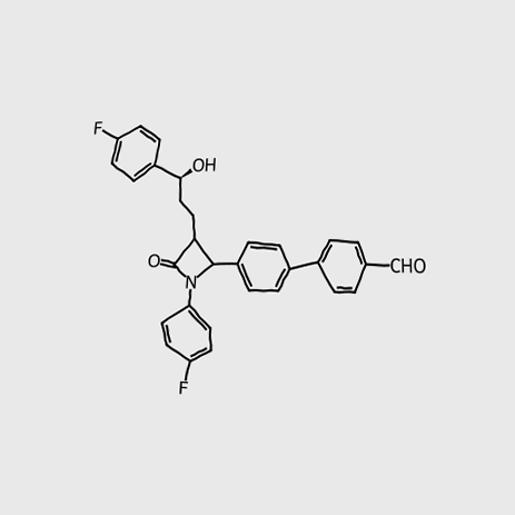 O=Cc1ccc(-c2ccc(C3C(CC[C@H](O)c4ccc(F)cc4)C(=O)N3c3ccc(F)cc3)cc2)cc1